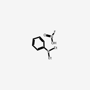 CCN(CC)c1ccccc1.O=[Si](O)F